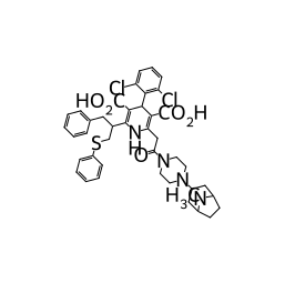 CN1C2CCC1CC(N1CCN(C(=O)CC3=C(C(=O)O)C(c4c(Cl)cccc4Cl)C(C(=O)O)=C(C(CSc4ccccc4)Cc4ccccc4)N3)CC1)C2